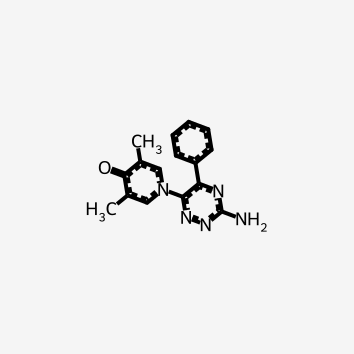 Cc1cn(-c2nnc(N)nc2-c2ccccc2)cc(C)c1=O